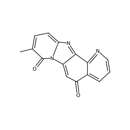 Cc1ccc2nc3c(n2c1=O)=CC(=O)c1cccnc1-3